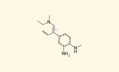 C=C/C(=C\N(C)CC)c1ccc(NC)c(N)c1